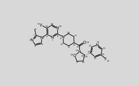 Cc1nccn1-c1nc(N2CCC(C(=O)N3OCC[C@H]3c3cncc(F)c3)CC2)ncc1F